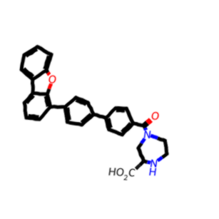 O=C(O)C1CN(C(=O)c2ccc(-c3ccc(-c4cccc5c4oc4ccccc45)cc3)cc2)CCN1